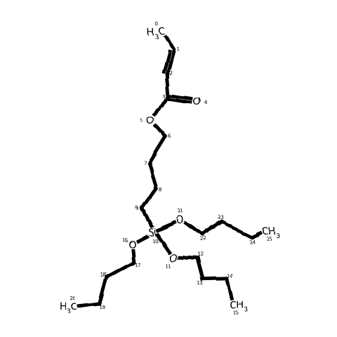 CC=CC(=O)OCCCC[Si](OCCCC)(OCCCC)OCCCC